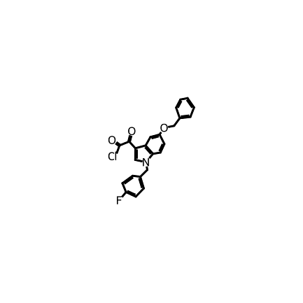 O=C(Cl)C(=O)c1cn(Cc2ccc(F)cc2)c2ccc(OCc3ccccc3)cc12